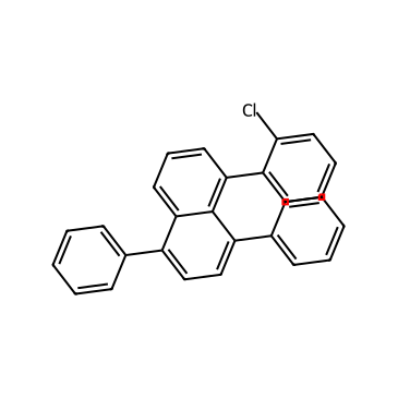 Clc1ccccc1-c1cccc2c(-c3ccccc3)ccc(-c3ccccc3)c12